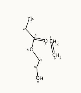 C=C.O=C(CCl)OCCO